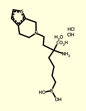 Cl.Cl.NC(CCCCB(O)O)(CCN1CCc2ccsc2C1)C(=O)O.O